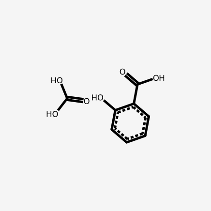 O=C(O)O.O=C(O)c1ccccc1O